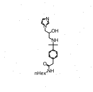 CCCCCCNC(=O)Cc1ccc(C(C)(C)NCC(O)Cn2ccnc2)cc1